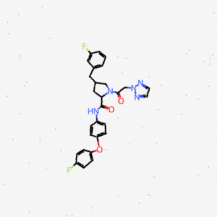 O=C(Nc1ccc(Oc2ccc(F)cc2)cc1)C1CC(Cc2cccc(F)c2)CN1C(=O)Cn1nccn1